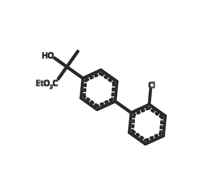 CCOC(=O)C(C)(O)c1ccc(-c2ccccc2Cl)cc1